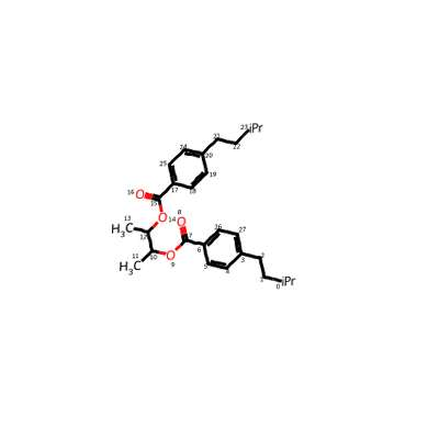 CC(C)CCc1ccc(C(=O)OC(C)C(C)OC(=O)c2ccc(CCC(C)C)cc2)cc1